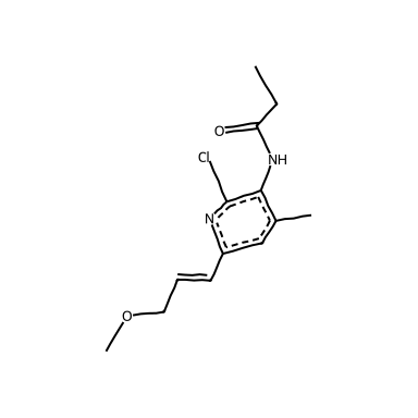 CCC(=O)Nc1c(C)cc(C=CCOC)nc1Cl